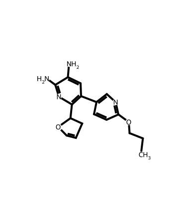 CCCOc1ccc(-c2cc(N)c(N)nc2C2CC=CO2)cn1